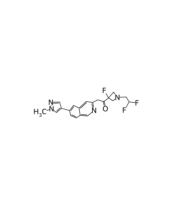 Cn1cc(-c2ccc3cnc(CC(=O)C4(F)CN(CC(F)F)C4)cc3c2)cn1